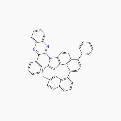 c1ccc(-c2nc3ccccc3nc2-n2c3ccc4c(-c5ccccc5)ccc5c4c3c3c4c(ccc6cccc-5c64)ccc32)cc1